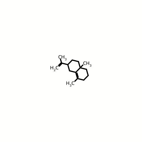 C=C(C)C1CCC2(C)CCCC(C)=C2C1